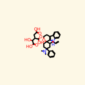 C=CCC1CC(c2ccccc2)(N(C)C)CCC12OCCc1c2[nH]c2ccccc12.O=C(O)CC(C(=O)O)C(O)C(=O)O